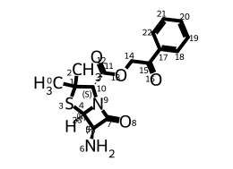 CC1(C)S[C@@H]2[C@H](N)C(=O)N2[C@H]1C(=O)OCC(=O)c1ccccc1